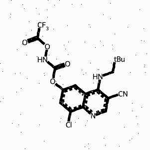 CC(C)(C)CNc1c(C#N)cnc2c(Cl)cc(OC(=O)NOC(=O)C(F)(F)F)cc12